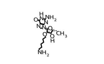 CC[C@H]1O[C@@H](n2cnc3c(=O)[nH]c(N)nc32)[C@@H](OCCCCCCN)C1O